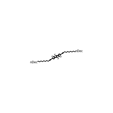 CCCCCCCCCCCCCCCCCCC#Cc1cc2c(s1)sc1c3cc(C#CCCCCCCCCCCCCCCCCCC)sc3sc21